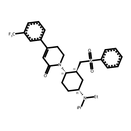 CCN(C(C)C)[C@@H]1CC[C@H](N2CCC(c3cccc(C(F)(F)F)c3)=CC2=O)[C@@H](CS(=O)(=O)c2ccccc2)C1